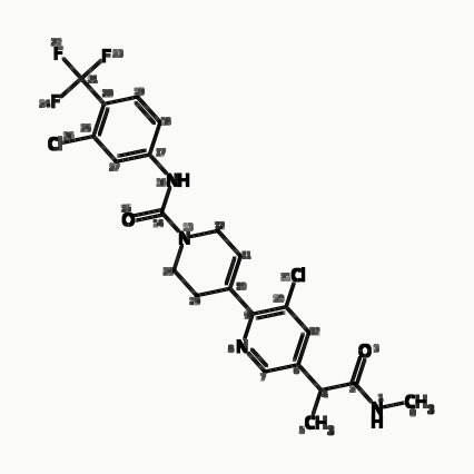 CNC(=O)C(C)c1cnc(C2=CCN(C(=O)Nc3ccc(C(F)(F)F)c(Cl)c3)CC2)c(Cl)c1